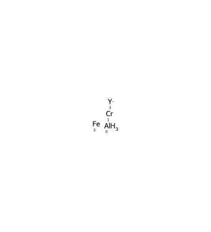 [AlH3].[Cr].[Fe].[Y]